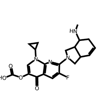 CNC1CC=CC2CN(c3nc4c(cc3F)c(=O)c(OC(=O)O)cn4C3CC3)CC21